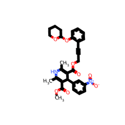 COC(=O)C1=C(C)NC(C)=C(C(=O)OCC#Cc2ccccc2OC2CCCCO2)C1c1cccc([N+](=O)[O-])c1